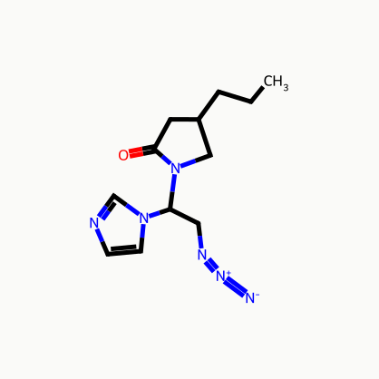 CCCC1CC(=O)N(C(CN=[N+]=[N-])n2ccnc2)C1